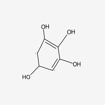 OC1=[C]C(O)[CH]C(O)=C1O